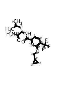 CC(C)C[C@H](NC(=O)c1ccc(C(F)(F)F)c(OCC2CC2)n1)C(N)=O